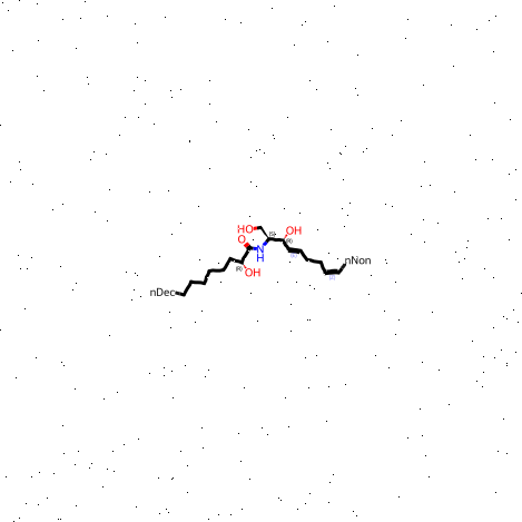 CCCCCCCCC/C=C\CC/C=C/[C@@H](O)[C@H](CO)NC(=O)[C@H](O)CCCCCCCCCCCCCCCC